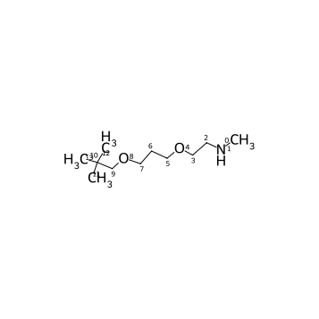 CNCCOCCCOCC(C)(C)C